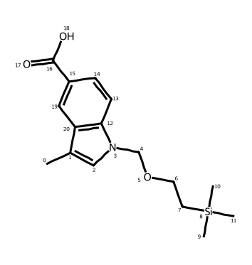 Cc1cn(COCC[Si](C)(C)C)c2ccc(C(=O)O)cc12